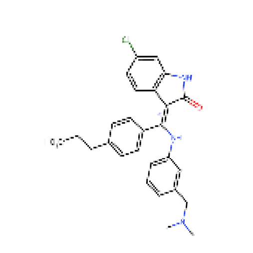 CN(C)Cc1cccc(N/C(=C2\C(=O)Nc3cc(Cl)ccc32)c2ccc(CCC(=O)O)cc2)c1